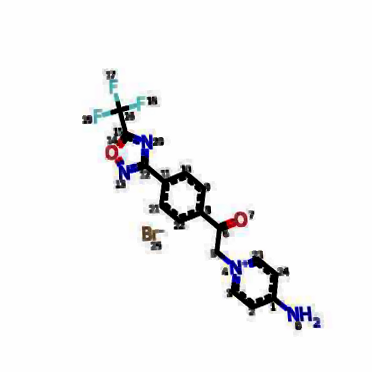 Nc1cc[n+](CC(=O)c2ccc(-c3noc(C(F)(F)F)n3)cc2)cc1.[Br-]